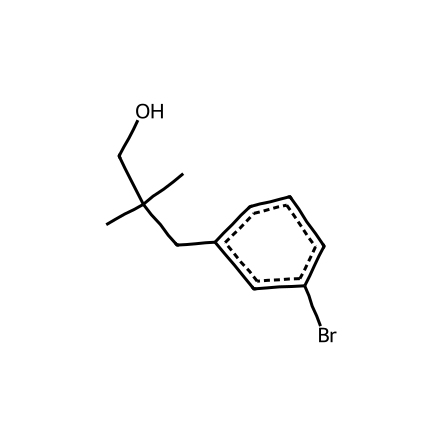 CC(C)(CO)Cc1cccc(Br)c1